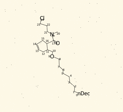 CCCCCCCCCCCCCCCCCCOCC1CC=CCC1C(=O)N(C)CCCCl